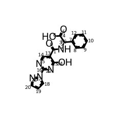 O=C(N[C@@H](C(=O)O)c1ccccc1)c1cnc(-n2cccn2)nc1O